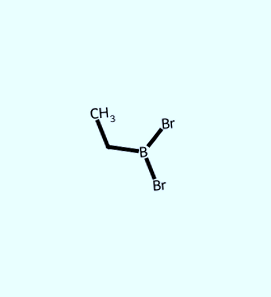 CCB(Br)Br